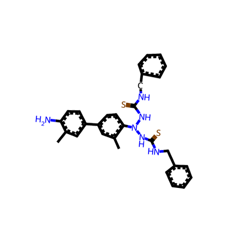 Cc1cc(-c2ccc(N(NC(=S)NCc3ccccc3)NC(=S)NCc3ccccc3)c(C)c2)ccc1N